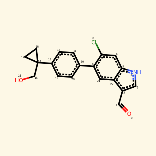 O=Cc1c[nH]c2cc(Cl)c(-c3ccc(C4(CO)CC4)cc3)cc12